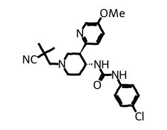 COc1ccc([C@@H]2CN(CC(C)(C)C#N)CC[C@H]2NC(=O)Nc2ccc(Cl)cc2)nc1